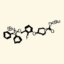 CC(C)(C)OC(=O)N1CCC(Oc2cccc(CO[Si](c3ccccc3)(c3ccccc3)C(C)(C)C)c2F)CC1